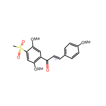 COc1ccc(/C=C/C(=O)c2cc(OC)c(S(C)(=O)=O)cc2OC)cc1